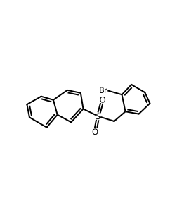 O=S(=O)(Cc1ccccc1Br)c1ccc2ccccc2c1